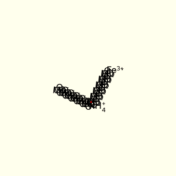 [Fe+3].[NH4+].[O]=[Mo](=[O])([O-])[O-].[O]=[Mo](=[O])([O-])[O-].[O]=[Mo](=[O])([O-])[O-].[O]=[Mo](=[O])([O-])[O-].[O]=[Mo](=[O])([O-])[O-].[O]=[Mo](=[O])([O-])[O-].[O]=[Mo](=[O])([O-])[O-].[O]=[Mo](=[O])([O-])[O-].[O]=[Mo](=[O])([O-])[O-].[O]=[Mo](=[O])([O-])[O-].[O]=[Mo](=[O])([O-])[O-].[O]=[Mo](=[O])([O-])[O-]